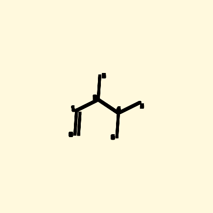 C=[C]C(C)C(C)C